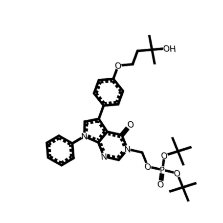 CC(C)(O)CCOc1ccc(-c2cn(-c3ccccc3)c3ncn(COP(=O)(OC(C)(C)C)OC(C)(C)C)c(=O)c23)cc1